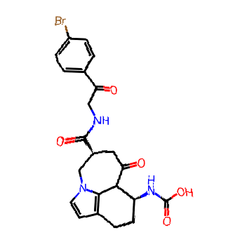 O=C(O)N[C@H]1CCc2ccn3c2C1C(=O)C[C@H](C(=O)NCC(=O)c1ccc(Br)cc1)C3